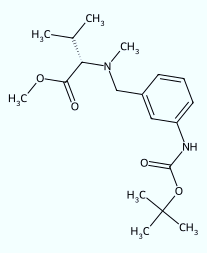 COC(=O)[C@H](C(C)C)N(C)Cc1cccc(NC(=O)OC(C)(C)C)c1